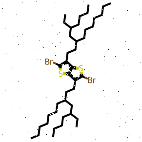 CCCCCCCC(CCc1c(Br)sc2c(CCC(CCCCCCC)CC(CC)CCCC)c(Br)sc12)CC(CC)CCCC